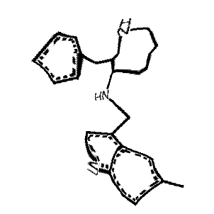 Cc1ccc2scc(CNC3CCCNC3c3ccccc3)c2c1